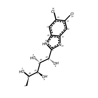 C[C@@H](O)[C@H](O)[C@H](O)[C@@H](O)c1nc2cc(Cl)c(Cl)cc2[nH]1